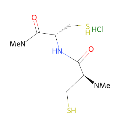 CNC(=O)[C@H](CS)NC(=O)[C@H](CS)NC.Cl